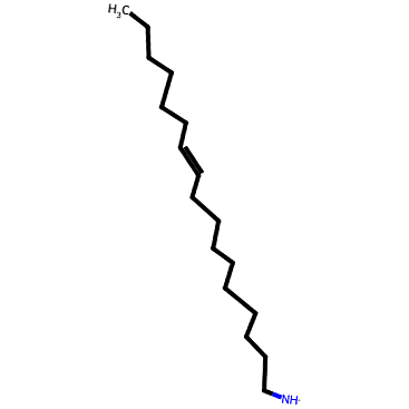 CCCCCCC=CCCCCCCCCC[NH]